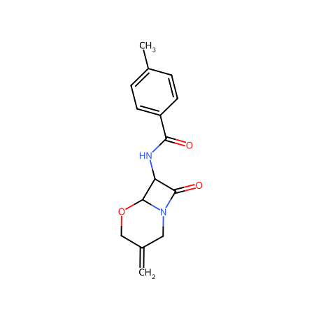 C=C1COC2C(NC(=O)c3ccc(C)cc3)C(=O)N2C1